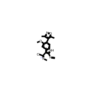 C=Nc1[nH]c2cc(-c3c(C)noc3C)c(OC)cc2c1/C(Cl)=N\C